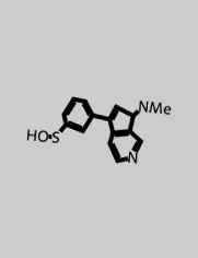 CNC1C=C(c2cccc(SO)c2)c2ccncc21